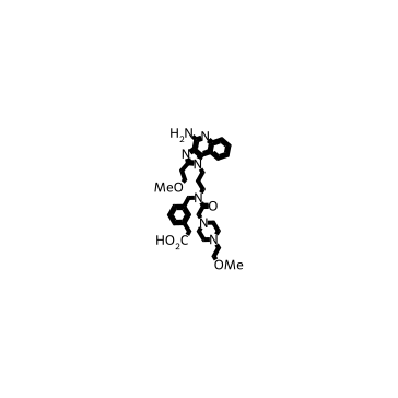 COCCc1nc2c(N)nc3ccccc3c2n1CCCN(Cc1cccc(CC(=O)O)c1)C(=O)CN1CCN(CCOC)CC1